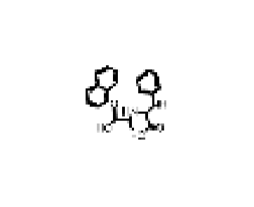 CC(NC(Nc1ccccc1)C(=O)O)C(=O)O.c1ccc2ccccc2c1